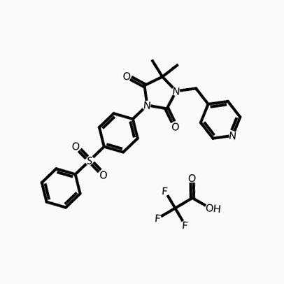 CC1(C)C(=O)N(c2ccc(S(=O)(=O)c3ccccc3)cc2)C(=O)N1Cc1ccncc1.O=C(O)C(F)(F)F